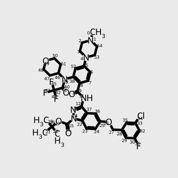 CN1CCN(c2ccc(C(=O)Nc3nn(C(=O)OC(C)(C)C)c4ccc(OCc5cc(F)cc(Cl)c5)cc34)c(N(C(=O)C(F)(F)F)C3CCOCC3)c2)CC1